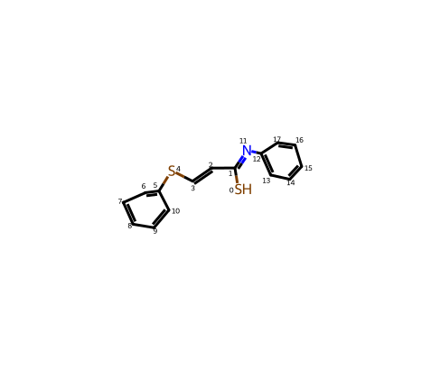 SC(C=CSc1ccccc1)=Nc1ccccc1